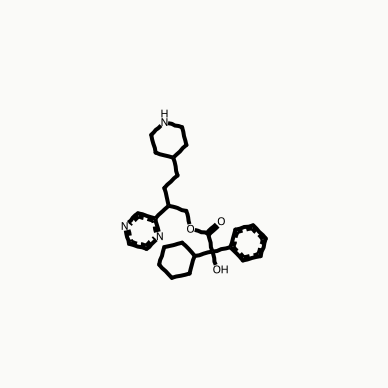 O=C(OCC(CCC1CCNCC1)c1cnccn1)C(O)(c1ccccc1)C1CCCCC1